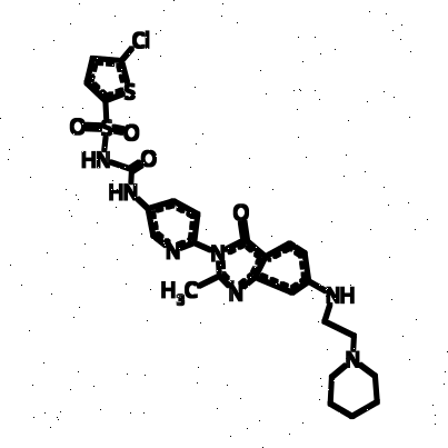 Cc1nc2cc(NCCN3CCCCC3)ccc2c(=O)n1-c1ccc(NC(=O)NS(=O)(=O)c2ccc(Cl)s2)cn1